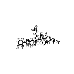 CCCOc1ccc(-c2cc(C(CCCCN(C)C)(C(=O)O)n3cc4nc(-c5cccc(F)c5F)nc-4cn3)on2)c(C(F)(F)F)c1